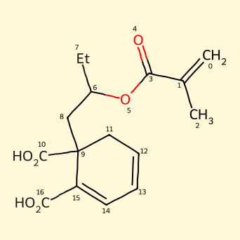 C=C(C)C(=O)OC(CC)CC1(C(=O)O)CC=CC=C1C(=O)O